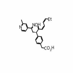 C=C(/C=C\C=C/CC)[C@H](C/C(=N\O)c1ccnc(C)c1)c1ccc(CC(=O)O)cc1